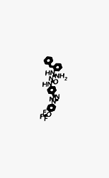 N/C(=N\C(=O)Nc1ccc(-c2ncn(-c3ccc(OC(F)(F)F)cc3)n2)cc1)Nc1ccccc1Cc1ccccc1